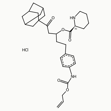 C=CCOC(=O)Nc1ccc(CCC(CC(=O)C23CC4CC(CC(C4)C2)C3)OC(=O)[C@@H]2CCCCN2)cc1.Cl